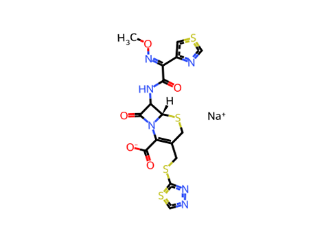 CON=C(C(=O)NC1C(=O)N2C(C(=O)[O-])=C(CSc3nncs3)CS[C@@H]12)c1cscn1.[Na+]